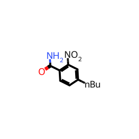 CCCCc1ccc(C(N)=O)c([N+](=O)[O-])c1